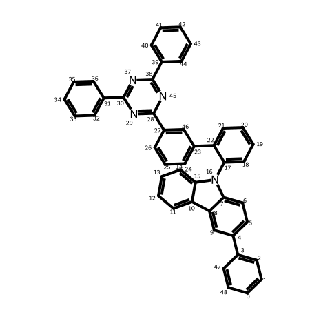 c1ccc(-c2ccc3c(c2)c2ccccc2n3-c2ccccc2-c2cccc(-c3nc(-c4ccccc4)nc(-c4ccccc4)n3)c2)cc1